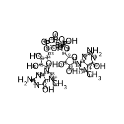 BP(=O)(OP(=O)(O)OC[C@H]1O[C@@H](n2c[n+](C)c3c(O)nc(N)nc32)C(O)C1O)OP(=O)(O)OC[C@H]1O[C@@H](n2c[n+](C)c3c(O)nc(N)nc32)C(O)C1O